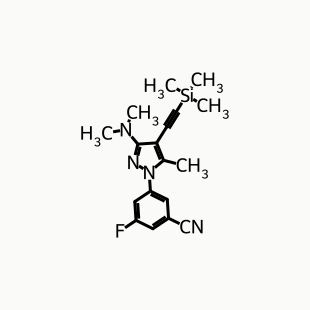 Cc1c(C#C[Si](C)(C)C)c(N(C)C)nn1-c1cc(F)cc(C#N)c1